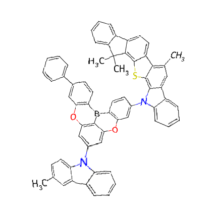 Cc1ccc2c(c1)c1ccccc1n2-c1cc2c3c(c1)Oc1cc(-n4c5ccccc5c5cc(C)c6c7ccc8c(c7sc6c54)C(C)(C)c4ccccc4-8)ccc1B3c1ccc(-c3ccccc3)cc1O2